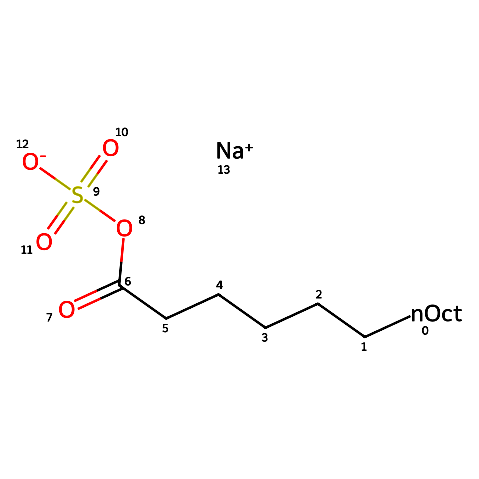 CCCCCCCCCCCCCC(=O)OS(=O)(=O)[O-].[Na+]